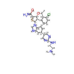 CC(Oc1cc(-n2cnc3cc(-c4cnc(NCCN(C)C)nc4)ccc32)sc1C(N)=O)c1ccccc1Cl